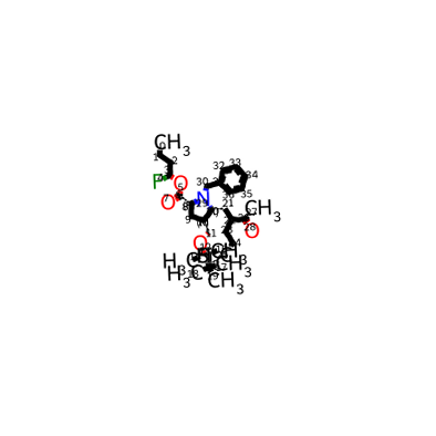 CCCC(F)OC(=O)[C@H]1C[C@@H](CO[Si](C)(C)C(C)(C)C)[C@@H](CC(CCC)C(C)=O)N1Cc1ccccc1